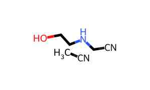 CC#N.N#CCNCCO